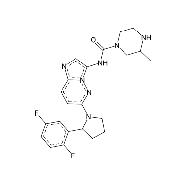 CC1CN(C(=O)Nc2cnc3ccc(N4CCCC4c4cc(F)ccc4F)nn23)CCN1